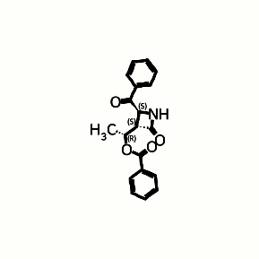 C[C@@H](OC(=O)c1ccccc1)[C@H]1C(=O)N[C@@H]1C(=O)c1ccccc1